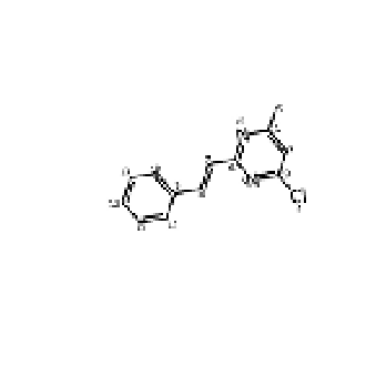 Cc1cc(Cl)nc(/C=C/c2ccccc2)n1